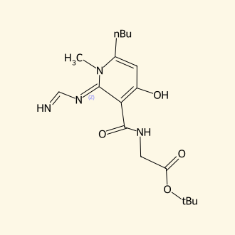 CCCCc1cc(O)c(C(=O)NCC(=O)OC(C)(C)C)/c(=N/C=N)n1C